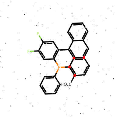 O=C(O)CCc1ccc2ccccc2c1-c1cc(F)c(F)cc1P(c1ccccc1)c1ccccc1